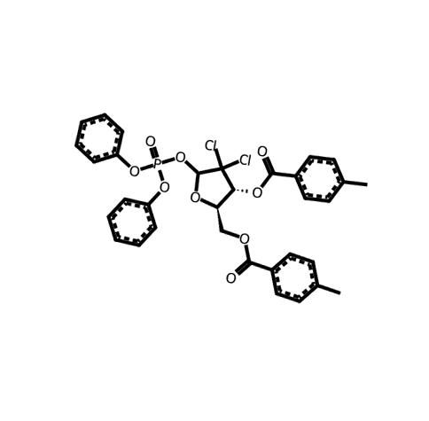 Cc1ccc(C(=O)OC[C@H]2OC(OP(=O)(Oc3ccccc3)Oc3ccccc3)C(Cl)(Cl)[C@@H]2OC(=O)c2ccc(C)cc2)cc1